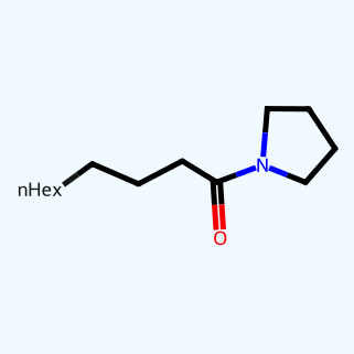 CCCCCCCCCC(=O)N1CCCC1